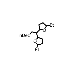 CCCCCCCCCCCC(C1CCC(CC)O1)C1CCC(CC)O1